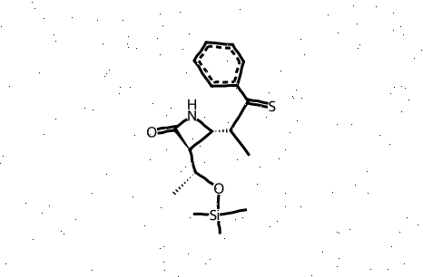 CC(C(=S)c1ccccc1)[C@H]1NC(=O)[C@@H]1[C@@H](C)O[Si](C)(C)C